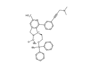 CN(C)CC#Cc1cccc(-c2nc(C(=O)O)cc3c2[C@@H](CCO[Si](c2ccccc2)(c2ccccc2)C(C)(C)C)N([S+]([O-])C(C)(C)C)C3)c1